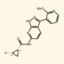 COc1ncccc1-c1n[nH]c2nc(NC(=O)[C@@H]3C[C@@H]3F)ccc12